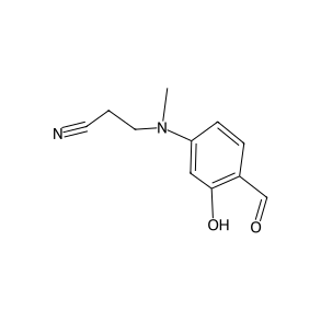 CN(CCC#N)c1ccc(C=O)c(O)c1